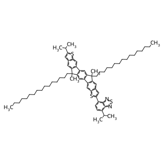 CCCCCCCCCCCCCCCCC1(C)c2cc3c(cc2-c2cc4sc(-c5ccc(C(C)C)c6nsnc56)cc4cc21)C(C)(CCCCCCCCCCCCCCCC)c1cc2cc(C(C)C)sc2cc1-3